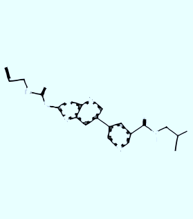 C=CCNC(=O)Nc1nc2cc(-c3cncc(C(=O)NCC(C)C)c3)cnc2s1